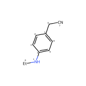 CCNc1ccc(CC#N)cc1